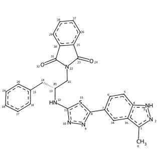 Cc1n[nH]c2ccc(-c3nnc(N[C@H](Cc4ccccc4)CN4C(=O)c5ccccc5C4=O)s3)cc12